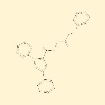 O=C(COc1ccccc1)NNC(=O)c1cc(-c2ccccc2)nn1-c1ccccc1